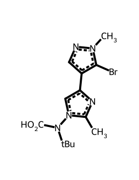 Cc1nc(-c2cnn(C)c2Br)cn1N(C(=O)O)C(C)(C)C